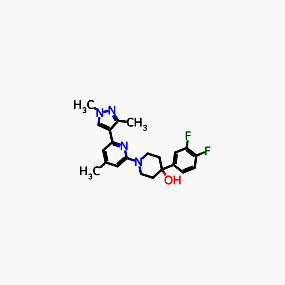 Cc1cc(-c2cn(C)nc2C)nc(N2CCC(O)(c3ccc(F)c(F)c3)CC2)c1